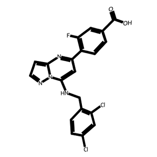 O=C(O)c1ccc(-c2cc(NCc3ccc(Cl)cc3Cl)n3nccc3n2)c(F)c1